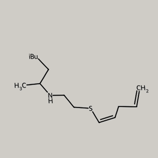 C=CC/C=C\SCCNC(C)CC(C)CC